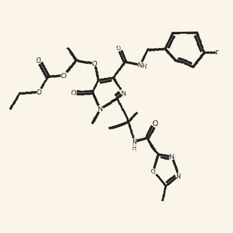 CCOC(=O)OC(C)Oc1c(C(=O)NCc2ccc(F)cc2)nc(C(C)(C)NC(=O)c2nnc(C)o2)n(C)c1=O